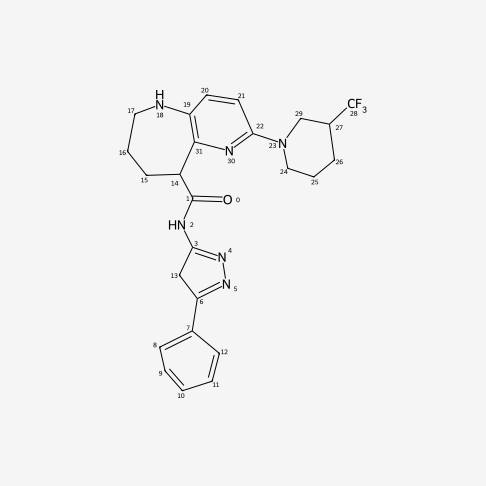 O=C(NC1=NN=C(c2ccccc2)C1)C1CCCNc2ccc(N3CCCC(C(F)(F)F)C3)nc21